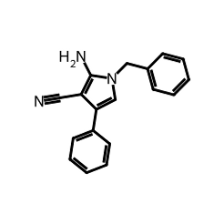 N#Cc1c(-c2ccccc2)cn(Cc2ccccc2)c1N